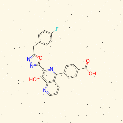 O=C(O)c1ccc(-c2nc(-c3nnc(Cc4ccc(F)cc4)o3)c(O)c3ncccc23)cc1